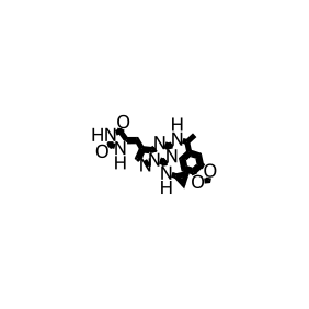 CC(Nc1nc(NC2CC2)n2ncc(/C=C3\NC(=O)NC3=O)c2n1)c1ccc2c(c1)OCO2